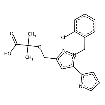 CC(C)(OCc1cc(-c2cscn2)n(Cc2ccccc2Cl)n1)C(=O)O